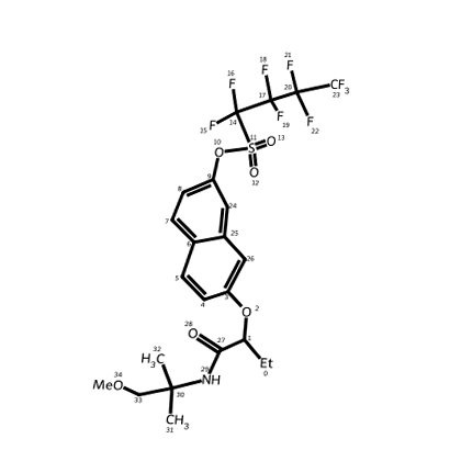 CCC(Oc1ccc2ccc(OS(=O)(=O)C(F)(F)C(F)(F)C(F)(F)C(F)(F)F)cc2c1)C(=O)NC(C)(C)COC